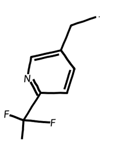 [CH2]Cc1ccc(C(C)(F)F)nc1